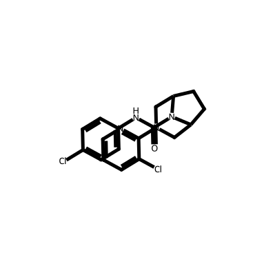 O=C(Nc1ccc(Cl)cc1)N1C2CCC1CN(c1ncccc1Cl)C2